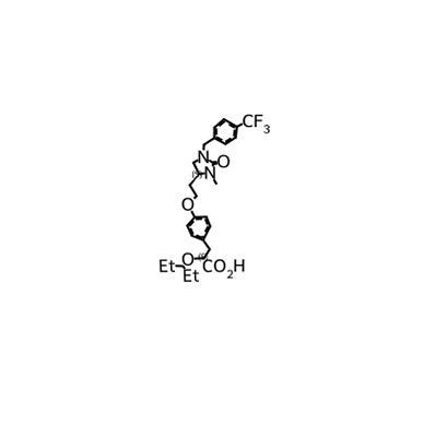 CCC(CC)O[C@@H](Cc1ccc(OCC[C@H]2CN(Cc3ccc(C(F)(F)F)cc3)C(=O)N2C)cc1)C(=O)O